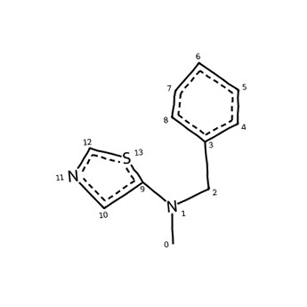 CN(Cc1ccccc1)c1cncs1